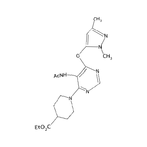 CCOC(=O)C1CCN(c2ncnc(Oc3cc(C)nn3C)c2NC(C)=O)CC1